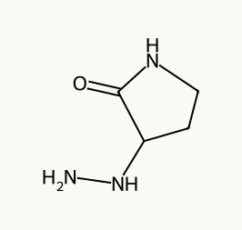 NNC1CCNC1=O